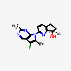 CC[C@@]1(O)CCc2ccc(-n3c(C(C)C)c(F)c4cnc(C)nc43)nc21